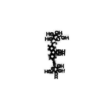 OC[C@H]1O[C@H](CCc2ccc3c(c2)C(CO)(CO)c2cc(C#C[C@H]4O[C@H](CO)[C@@H](O)[C@H](O)[C@@H]4O)ccc2-3)[C@@H](O)[C@@H](O)[C@@H]1O